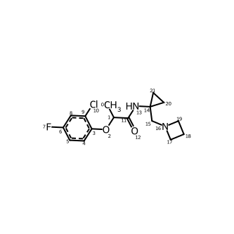 CC(Oc1ccc(F)cc1Cl)C(=O)NC1(CN2CCC2)CC1